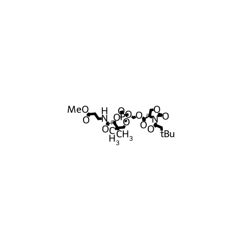 COC(=O)CCNC(=O)[C@@H]1OP(=O)(OCOC(=O)[C@H]2COC(=O)N2C(=O)CC(C)(C)C)OCC1(C)C